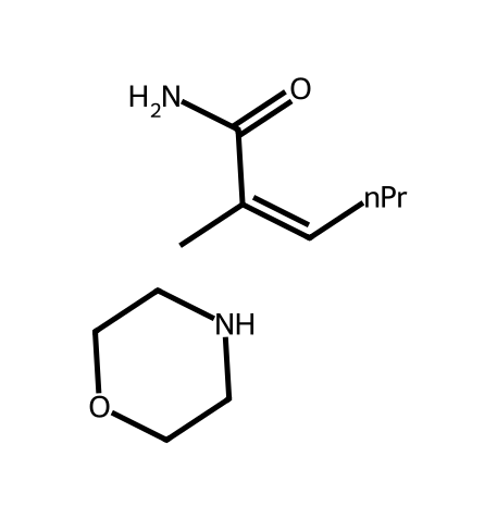 C1COCCN1.CCCC=C(C)C(N)=O